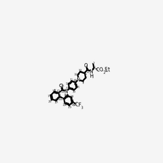 CCOC(=O)[C@@H](C)NC(=O)C1CCN(c2ccc(NC(=O)c3ccccc3-c3ccc(C(F)(F)F)cc3)cc2)CC1